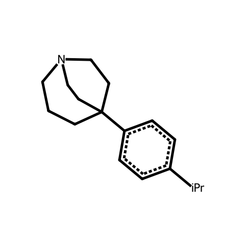 CC(C)c1ccc(C23CCCN(CC2)CC3)cc1